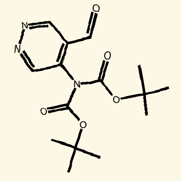 CC(C)(C)OC(=O)N(C(=O)OC(C)(C)C)c1cnncc1C=O